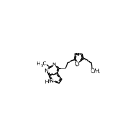 Cc1nc(CCc2ccc(CO)o2)c2cc[nH]c2n1